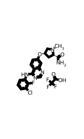 CN1C[C@@H](Oc2ccc3c(Nc4cccc(Cl)c4F)ncnc3c2)C[C@H]1C(N)=O.O=C(O)C(F)(F)F